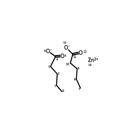 CCCCC(=O)[O-].CCCCC(=O)[O-].[Zn+2]